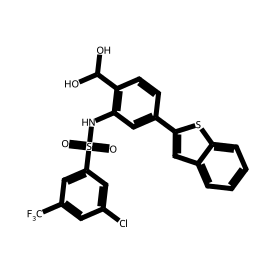 O=S(=O)(Nc1cc(-c2cc3ccccc3s2)ccc1C(O)O)c1cc(Cl)cc(C(F)(F)F)c1